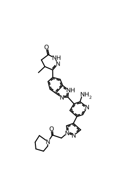 CC1CC(=O)NN=C1c1ccc2nc(-c3cc(-c4cnn(CC(=O)N5CCCCC5)c4)cnc3N)[nH]c2c1